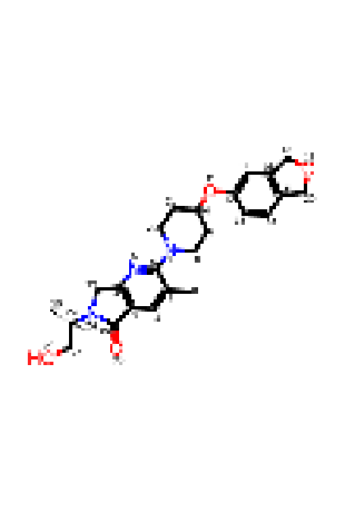 Cc1cc2c(nc1N1CCC(Oc3ccc4c(c3)COC4)CC1)CN([C@@H](C)CO)C2=O